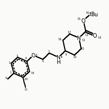 Cc1ccc(OCCNC2CCN(C(=O)OC(C)(C)C)CC2)cc1C